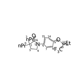 CCCC1(CCC)CCN(c2ccc(O[C@@H](CC)C(F)(F)F)cc2)C1=O